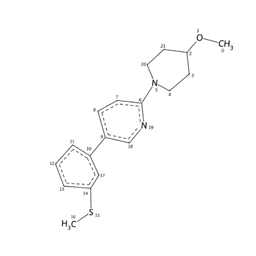 COC1CCN(c2ccc(-c3cccc(SC)c3)cn2)CC1